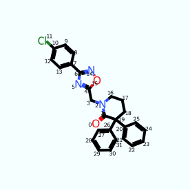 O=C1N(Cc2nc(-c3ccc(Cl)cc3)no2)CCCC1(c1ccccc1)c1ccccc1